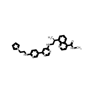 CNC(=O)c1ccnc2c([C@H](C)CNc3cc(-c4ccc(NCCn5cccc5)nc4)ncn3)cccc12